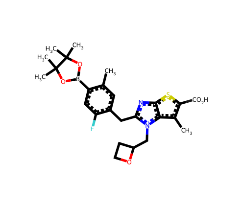 Cc1cc(Cc2nc3sc(C(=O)O)c(C)c3n2CC2CCO2)c(F)cc1B1OC(C)(C)C(C)(C)O1